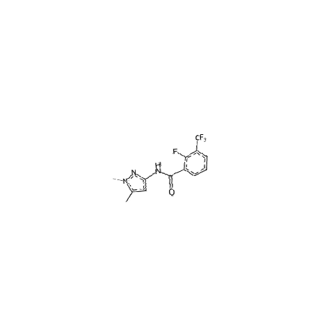 Cc1cc(NC(=O)c2cccc(C(F)(F)F)c2F)nn1C